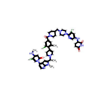 CNc1cc(=O)n(-c2ccnc3c2cc([C@H](C)N2CC=C(c4c(C)cc(C(=O)N5CCC(CN6CCN(c7ncc(NC8CCC(=O)NC8=O)cc7F)CC6)CC5)cc4F)CC2)n3C)cc1F